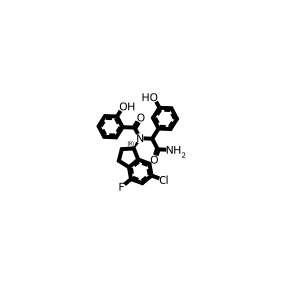 NC(=O)C(c1cccc(O)c1)N(C(=O)c1ccccc1O)[C@@H]1CCc2c(F)cc(Cl)cc21